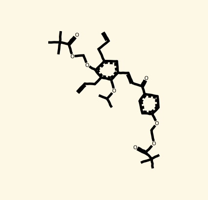 C=CCc1cc(C=CC(=O)c2ccc(OCOC(=O)C(C)(C)C)cc2)c(OC(C)C)c(CC=C)c1OCOC(=O)C(C)(C)C